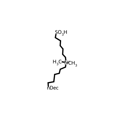 CCCCCCCCCCCCCCCC[N+](C)(C)CCCCCCS(=O)(=O)O